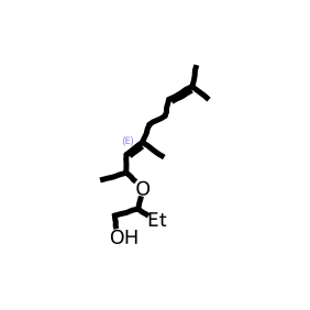 CCC(CO)OC(C)/C=C(\C)CCC=C(C)C